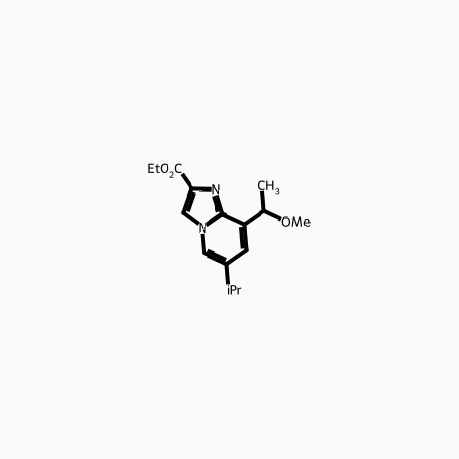 CCOC(=O)c1cn2cc(C(C)C)cc(C(C)OC)c2n1